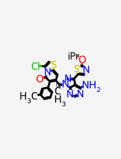 Cc1cccc(-c2c([C@H](C)n3nc(-c4cnc(OC(C)C)s4)c4c(N)ncnc43)cc3scc(Cl)n3c2=O)c1